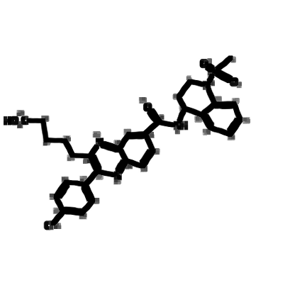 CS(=O)(=O)N1CCC(NC(=O)c2ccc3nc(-c4ccc(Cl)cc4)c(CCCCC(=O)O)nc3c2)c2ccccc21